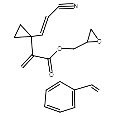 C=C(C(=O)OCC1CO1)C1(C=CC#N)CC1.C=Cc1ccccc1